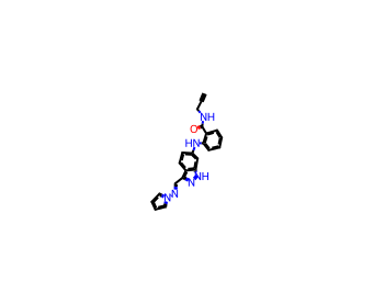 C#CCNC(=O)c1ccccc1Nc1ccc2c(C=Nn3cccc3)n[nH]c2c1